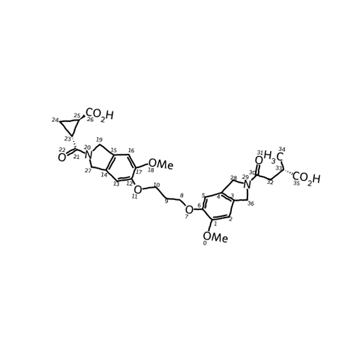 COc1cc2c(cc1OCCCOc1cc3c(cc1OC)CN(C(=O)[C@@H]1C[C@H]1C(=O)O)C3)CN(C(=O)C[C@H](C)C(=O)O)C2